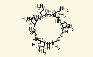 C=C1CCCNC(=C)C(CC)NC(=C)C(CCN)NC(=C)C(CCN)NC(=C)C(CC(C)C)NC(=O)CNC(=C)C(CCN)N1